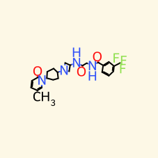 Cc1ccc(=O)n(C2CCC(N3CC(NC(=O)CNC(=O)c4cccc(C(F)(F)F)c4)C3)CC2)c1